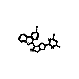 Cc1cc(C)nc(N2CC3CNC(C(=O)c4ccc(F)cc4-c4ccccn4)C3C2)n1